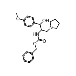 COc1ccc(C(O)C(CN2CCCC2)NC(=O)OCc2ccccc2)cc1